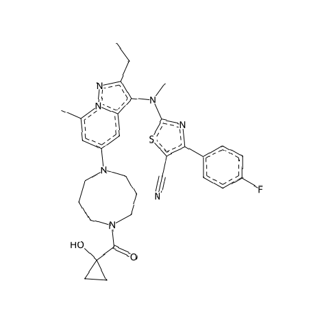 CCc1nn2c(C)cc(N3CCCN(C(=O)C4(O)CC4)CCC3)cc2c1N(C)c1nc(-c2ccc(F)cc2)c(C#N)s1